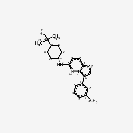 Cc1cccc(-c2cnc3ccc(N[C@H]4CC[C@H](C(C)(C)O)CC4)nn23)c1